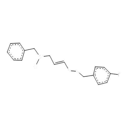 [O-][S+](CC=CSSCc1ccc(F)cc1)Cc1ccccc1